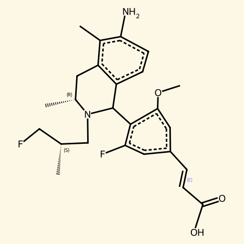 COc1cc(/C=C/C(=O)O)cc(F)c1C1c2ccc(N)c(C)c2C[C@@H](C)N1C[C@H](C)CF